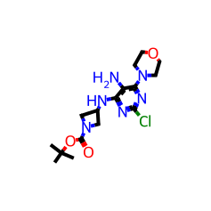 CC(C)(C)OC(=O)N1CC(Nc2nc(Cl)nc(N3CCOCC3)c2N)C1